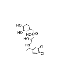 CC(NC[C@@H](O)CP(=O)(O)CC1CCC(O)C(O)C1)c1ccc(Cl)c(Cl)c1